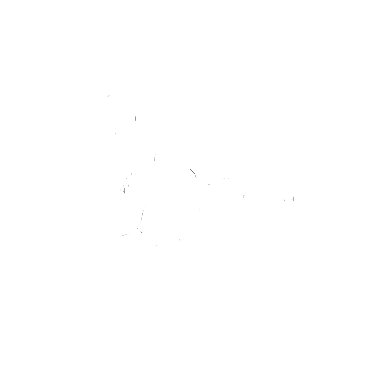 Cc1ccnc(C(C)C)c1-n1c(=O)nc(N2CCN(C(=O)O)C[C@@H]2C)c2cc(C3CC3)c(-c3cccc(O)c3F)nc21